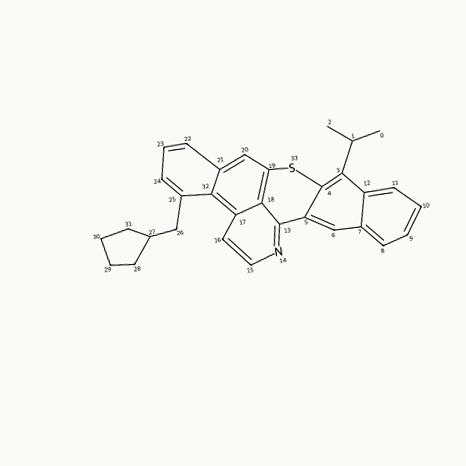 CC(C)c1c2c(cc3ccccc13)-c1nccc3c1c(cc1cccc(CC4CCCC4)c13)S2